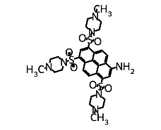 CN1CCN(S(=O)(=O)c2cc(N)c3ccc4c(S(=O)(=O)N5CCN(C)CC5)cc(S(=O)(=O)N5CCN(C)CC5)c5ccc2c3c45)CC1